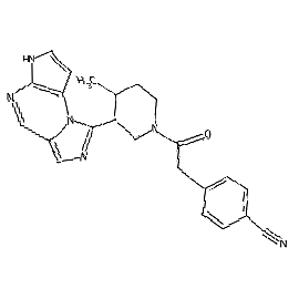 CC1CCN(C(=O)Cc2ccc(C#N)cc2)CC1c1ncc2cnc3[nH]ccc3n12